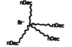 CCCCCCCCCCCCCCCCCC[N+](CCCCCCCCCCCCCCCCCC)(CCCCCCCCCCCCCCCCCC)CCCCCCCCCCCCCCCCCC.[Br-]